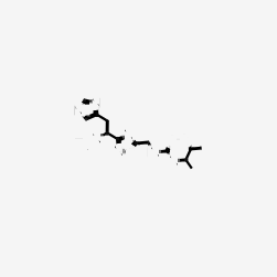 CC(O)C(C)NC(=O)NCc1nc(C(N)Cc2cnc[nH]2)no1